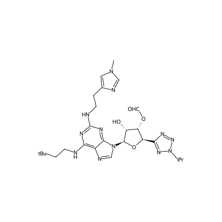 CC(C)n1nnc([C@H]2O[C@@H](n3cnc4c(NCCC(C)(C)C)nc(NCCc5cn(C)cn5)nc43)[C@H](O)[C@@H]2OC=O)n1